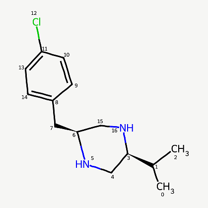 CC(C)[C@H]1CN[C@@H](Cc2ccc(Cl)cc2)CN1